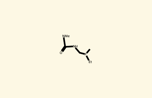 CCP(C)CNC(=O)NC